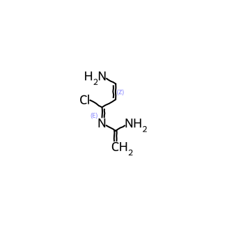 C=C(N)/N=C(Cl)\C=C/N